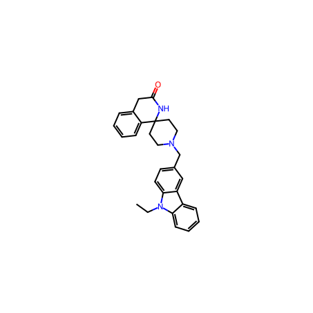 CCn1c2ccccc2c2cc(CN3CCC4(CC3)NC(=O)Cc3ccccc34)ccc21